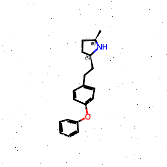 C[C@@H]1CC[C@H](CCc2ccc(Oc3ccccc3)cc2)N1